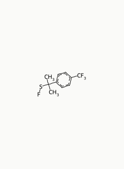 CC(C)(SF)c1ccc(C(F)(F)F)cc1